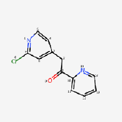 O=C(Cc1ccnc(Cl)c1)c1ccccn1